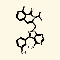 Cc1cccc2cc(Cn3nc(-c4cccc(O)c4)c4c(N)ncnc43)n(C(C)C)c(=O)c12